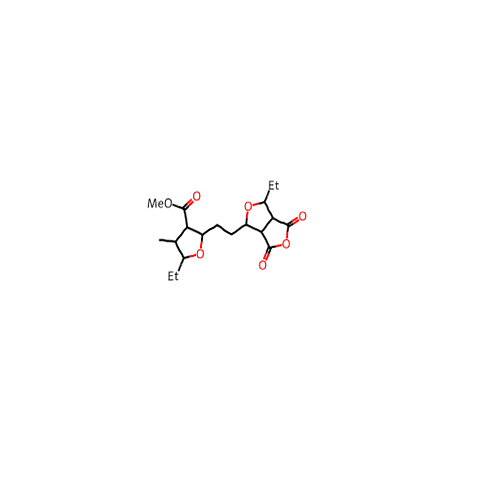 CCC1OC(CCC2OC(CC)C3C(=O)OC(=O)C23)C(C(=O)OC)C1C